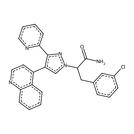 NC(=O)C(Cc1cccc(Cl)c1)n1cc(-c2ccnc3ccccc23)c(-c2ccccn2)n1